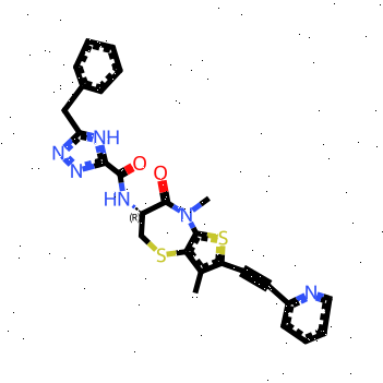 Cc1c(C#Cc2ccccn2)sc2c1SC[C@H](NC(=O)c1nnc(Cc3ccccc3)[nH]1)C(=O)N2C